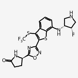 O=C1CC[C@H](c2nc(-c3sc4c(N[C@@H]5CNC[C@@H]5F)cccc4c3SC(F)(F)F)no2)N1